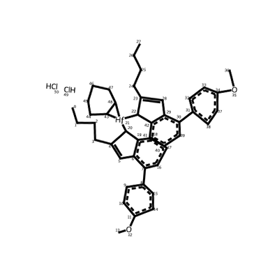 CCCCC1=Cc2c(-c3ccc(OC)cc3)cccc2[CH]1[Hf]1([CH]2C(CCCC)=Cc3c(-c4ccc(OC)cc4)cccc32)[CH]2CCCC[CH]21.Cl.Cl